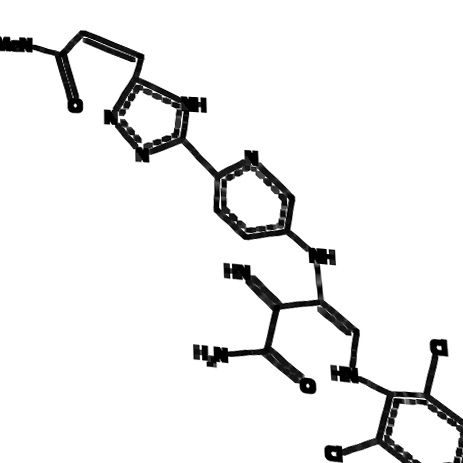 CNC(=O)/C=C\c1nnc(-c2ccc(N/C(=C/Nc3c(Cl)cccc3Cl)C(=N)C(N)=O)cn2)[nH]1